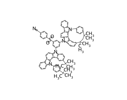 CC(C)(C)c1ccc(-n2c3ccccc3c3ccc4c(c5cc(C(C)(C)C)ccc5n4-c4cc(-n5c6ccc7cc6c6c5ccc5c8ccccc8n(c56)-c5ccc(cc5)C(C)(C)CC7(C)C)cc(S(=O)(=O)c5ccc(C#N)cc5)c4)c32)cc1